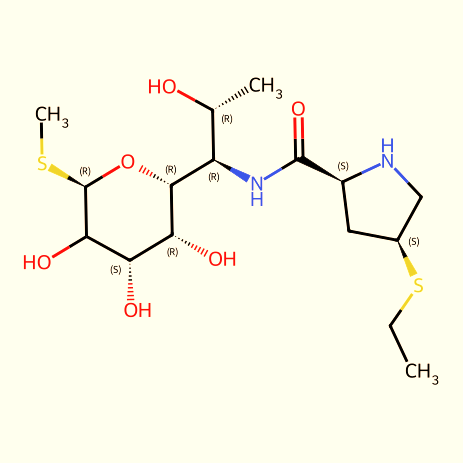 CCS[C@@H]1CN[C@H](C(=O)N[C@@H]([C@H]2O[C@H](SC)C(O)[C@@H](O)[C@H]2O)[C@@H](C)O)C1